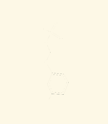 O=S(=O)(OCOc1cccc(I)c1)C(F)(F)F